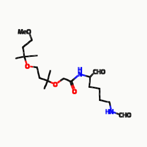 COCCC(C)(C)OCCC(C)(C)OCC(=O)NC(C=O)CCCCNC=O